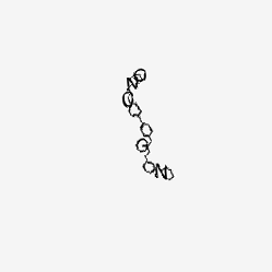 O=C(CCc1cccc(N2CCCCC2)c1)Cc1ccc(-c2ccc(OCCN3CCOCC3)cc2)cc1